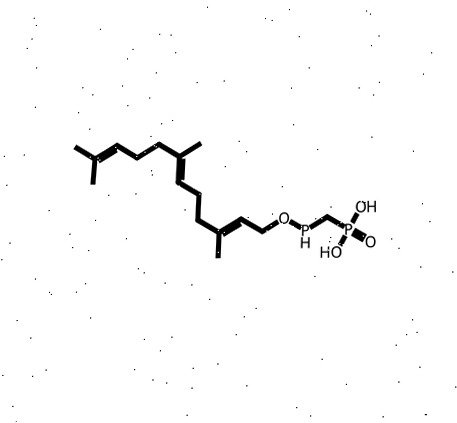 CC(C)=CCCC(C)=CCCC(C)=CCOPCP(=O)(O)O